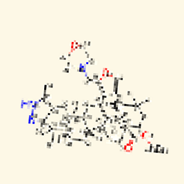 CCCCOC(=O)[C@]12CCC(C)(C)C[C@H]1C1=C(c3ccoc3CN3CCOCC3)CC3[C@@]4(C)Cc5c(n[nH]c5C)C(C)(C)[C@@H]4CC[C@@]3(C)[C@]1(C)CC2